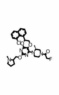 C[C@H]1CN(C(=O)CF)CCN1c1nc(OCC2CCCN2C)nc2c1OCC(c1cccc3cccc(Cl)c13)O2